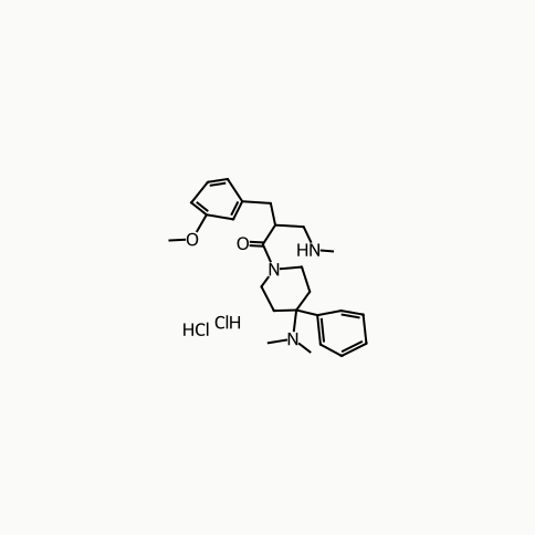 CNCC(Cc1cccc(OC)c1)C(=O)N1CCC(c2ccccc2)(N(C)C)CC1.Cl.Cl